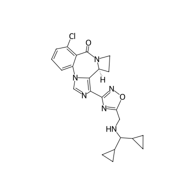 O=C1c2c(Cl)cccc2-n2cnc(-c3noc(CNC(C4CC4)C4CC4)n3)c2[C@@H]2CCN12